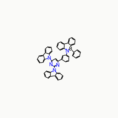 c1ccc(B2c3ccccc3-c3ccccc3N2c2cccc(-c3cc(-n4c5ccccc5c5ccccc54)nc(-n4c5ccccc5c5ccccc54)n3)c2)cc1